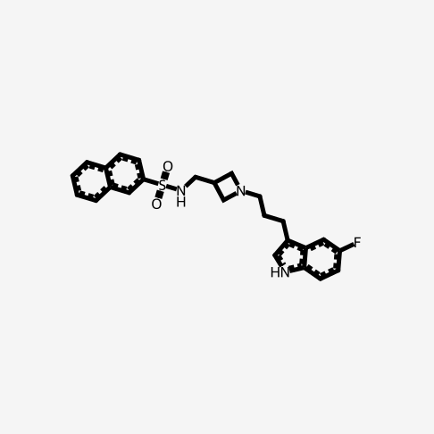 O=S(=O)(NCC1CN(CCCc2c[nH]c3ccc(F)cc23)C1)c1ccc2ccccc2c1